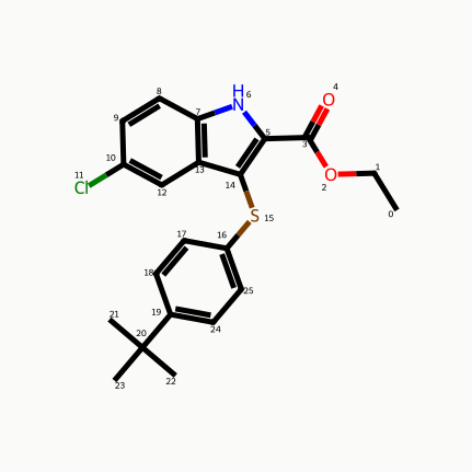 CCOC(=O)c1[nH]c2ccc(Cl)cc2c1Sc1ccc(C(C)(C)C)cc1